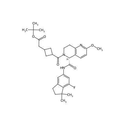 COc1ccc2c(n1)CCN(C(=O)C1CC(CC(=O)OC(C)(C)C)C1)[C@H]2C(=O)Nc1cc(F)c2c(c1)CCC2(C)C